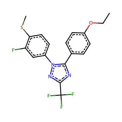 CCOc1ccc(-c2nc(C(F)(F)F)nn2-c2ccc(SC)c(F)c2)cc1